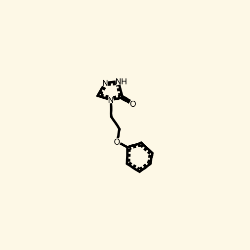 O=c1[nH]ncn1CCOc1ccccc1